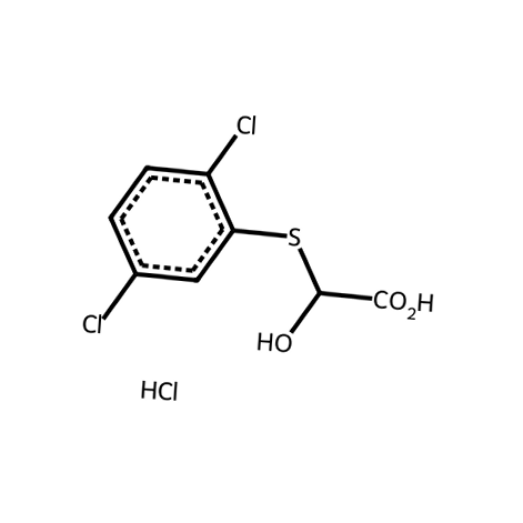 Cl.O=C(O)C(O)Sc1cc(Cl)ccc1Cl